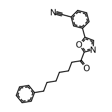 N#Cc1cccc(-c2cnc(C(=O)CCCCCCc3ccccc3)o2)c1